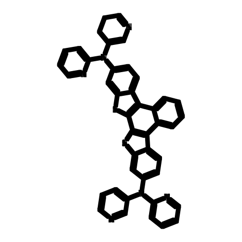 C1=NC=C(N(c2ccc3c(c2)sc2c4sc5cc(N(c6cccnc6)c6ccccn6)ccc5c4c4ccccc4c32)c2ccccn2)CC1